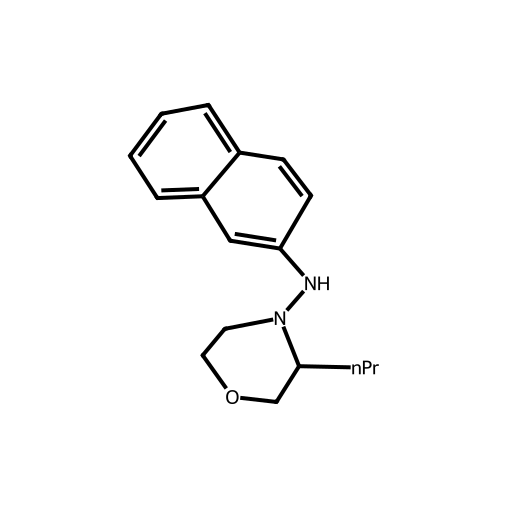 CCCC1COCCN1Nc1ccc2ccccc2c1